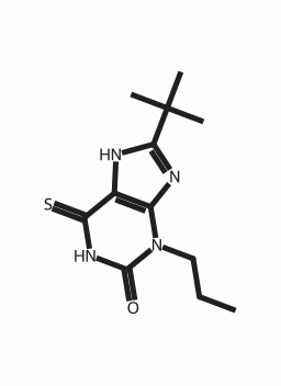 CCCn1c(=O)[nH]c(=S)c2[nH]c(C(C)(C)C)nc21